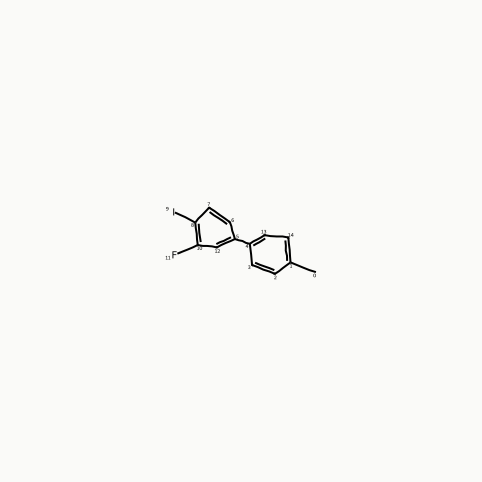 Cc1ccc(-c2ccc(I)c(F)c2)cc1